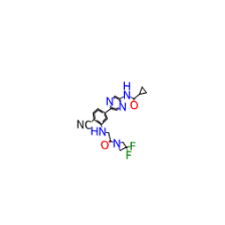 N#Cc1ccc(-c2cnc(NC(=O)C3CC3)cn2)cc1NCC(=O)N1CC(F)(F)C1